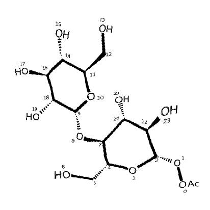 CC(=O)OO[C@@H]1O[C@H](CO)[C@@H](O[C@H]2O[C@H](CO)[C@@H](O)[C@H](O)[C@H]2O)[C@H](O)[C@H]1O